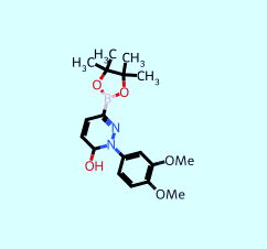 COc1ccc(N2N=C(B3OC(C)(C)C(C)(C)O3)C=CC2O)cc1OC